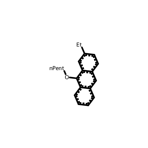 CCCCCOc1c2ccccc2cc2ccc(CC)cc12